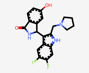 O=C1NC(c2c(CN3CCCC3)[nH]c3cc(F)c(F)cc23)c2cc(O)ccc21